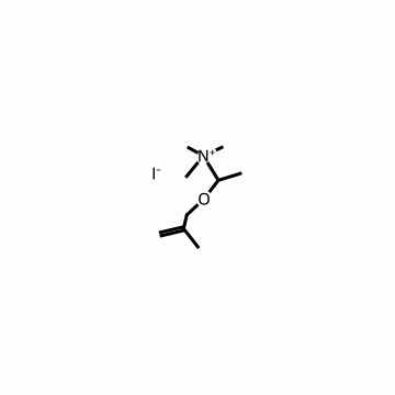 C=C(C)COC(C)[N+](C)(C)C.[I-]